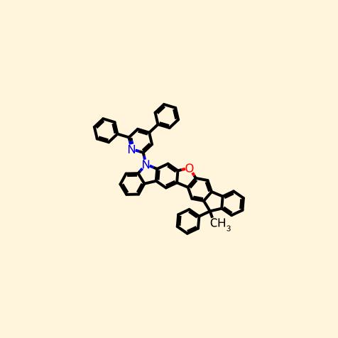 CC1(c2ccccc2)c2ccccc2-c2cc3oc4cc5c(cc4c3cc21)c1ccccc1n5-c1cc(-c2ccccc2)cc(-c2ccccc2)n1